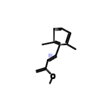 C=C(/C=C/c1c(C)cccc1C)OC